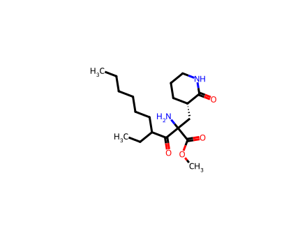 CCCCCCC(CC)C(=O)C(N)(C[C@@H]1CCCNC1=O)C(=O)OC